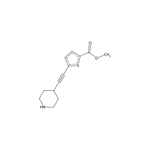 COC(=O)c1ccc(C#CC2CCNCC2)s1